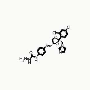 NNC(=O)Nc1ccc(SC[C@@H]2CO[C@@](Cn3ccnc3)(c3ccc(Cl)cc3Cl)O2)cc1